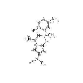 CC1(c2cc(N)ccc2F)Cn2cc(C(F)F)nc2C(N)=N1